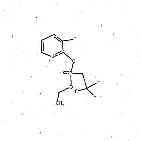 CCOP(=O)(CC(F)(F)F)Oc1ccccc1F